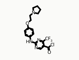 O=C(Cl)c1cnc(Nc2ccc(OCCN3CCCC3)cc2)nc1C(F)(F)F